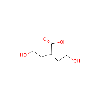 O=C(O)C(CCO)CCO